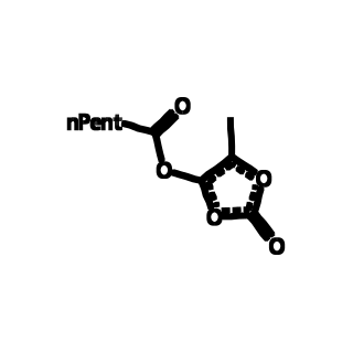 CCCCCC(=O)Oc1oc(=O)oc1C